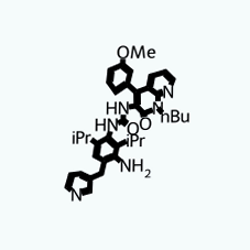 CCCCn1c(=O)c(NC(=O)Nc2c(C(C)C)cc(Cc3cccnc3)c(N)c2C(C)C)c(-c2cccc(OC)c2)c2cccnc21